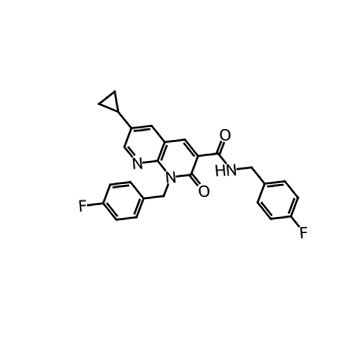 O=C(NCc1ccc(F)cc1)c1cc2cc(C3CC3)cnc2n(Cc2ccc(F)cc2)c1=O